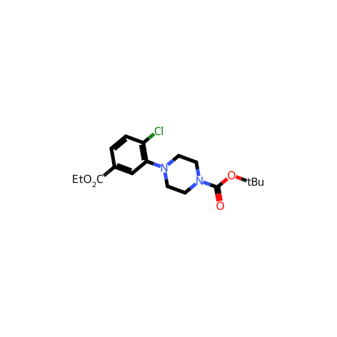 CCOC(=O)c1ccc(Cl)c(N2CCN(C(=O)OC(C)(C)C)CC2)c1